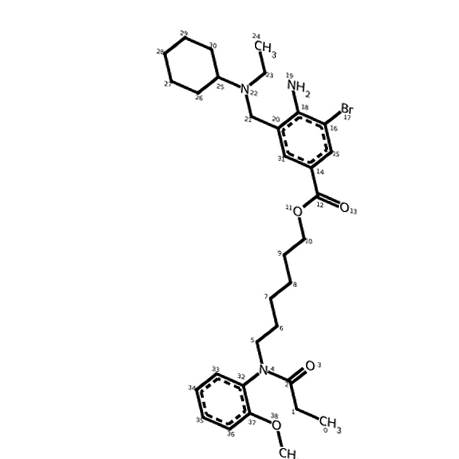 CCC(=O)N(CCCCCCOC(=O)c1cc(Br)c(N)c(CN(CC)C2CCCCC2)c1)c1ccccc1OC